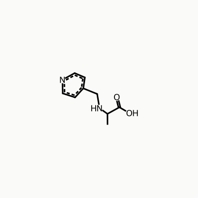 CC(NCc1ccncc1)C(=O)O